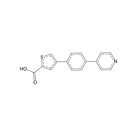 O=C(O)c1cc(-c2ccc(-c3ccncc3)cc2)cs1